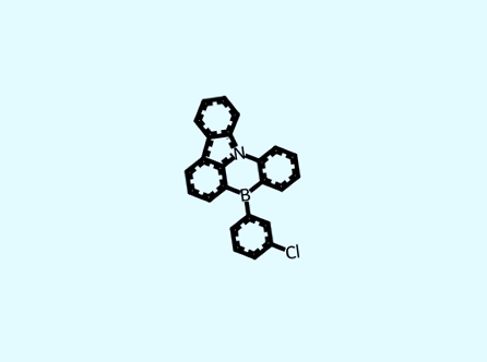 Clc1cccc(B2c3ccccc3-n3c4ccccc4c4cccc2c43)c1